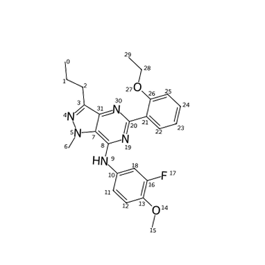 CCCc1nn(C)c2c(Nc3ccc(OC)c(F)c3)nc(-c3ccccc3OCC)nc12